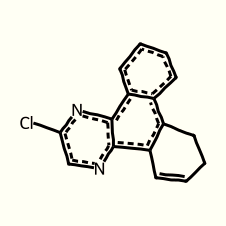 Clc1cnc2c3c(c4ccccc4c2n1)CCC=C3